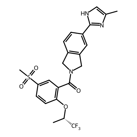 Cc1c[nH]c(-c2ccc3c(c2)CN(C(=O)c2cc(S(C)(=O)=O)ccc2O[C@@H](C)C(F)(F)F)C3)n1